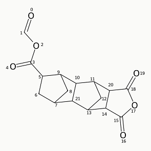 O=COC(=O)C1CC2CC1C1C3CC(C4C(=O)OC(=O)C34)C21